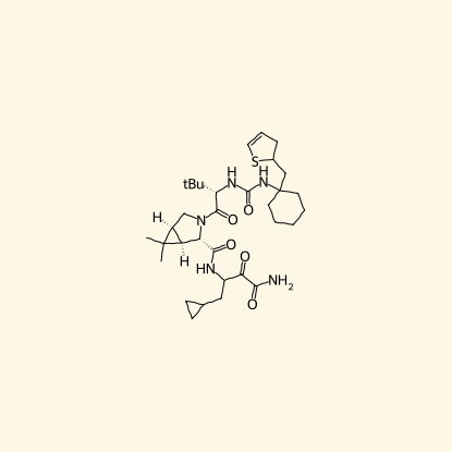 CC(C)(C)[C@H](NC(=O)NC1(CC2CC=CS2)CCCCC1)C(=O)N1C[C@H]2[C@@H]([C@H]1C(=O)NC(CC1CC1)C(=O)C(N)=O)C2(C)C